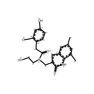 Cc1cc(C)c2[nH]c(=O)c(CN(CCO)C(=O)Cc3ccc(O)cc3Cl)cc2c1